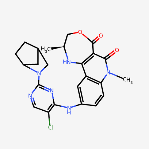 C[C@H]1COC(=O)c2c(c3cc(Nc4nc(N5CC6CCC5C6)ncc4Cl)ccc3n(C)c2=O)N1